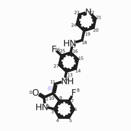 O=C1Nc2cccc(F)c2/C1=C\Nc1ccc(NCc2ccncc2)c(F)c1